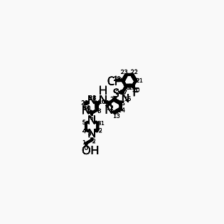 OCCN1CCN(c2cc(Nc3nccc4nc(-c5c(F)cccc5Cl)sc34)ncn2)CC1